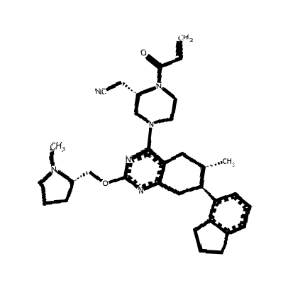 C=CC(=O)N1CCN(c2nc(OC[C@@H]3CCCN3C)nc3c2C[C@H](C)[C@@H](c2cccc4c2CCC4)C3)C[C@@H]1CC#N